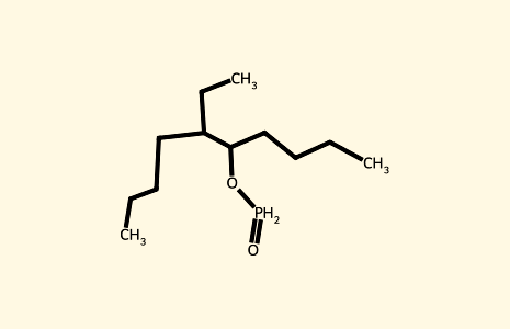 CCCCC(CC)C(CCCC)O[PH2]=O